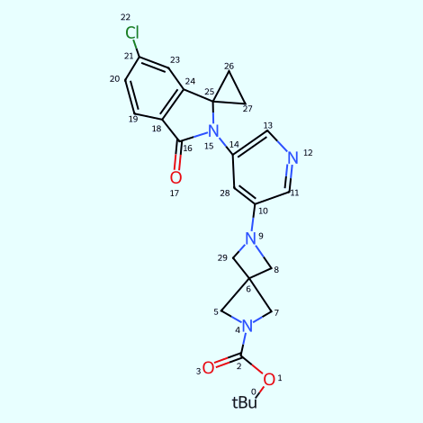 CC(C)(C)OC(=O)N1CC2(C1)CN(c1cncc(N3C(=O)c4ccc(Cl)cc4C34CC4)c1)C2